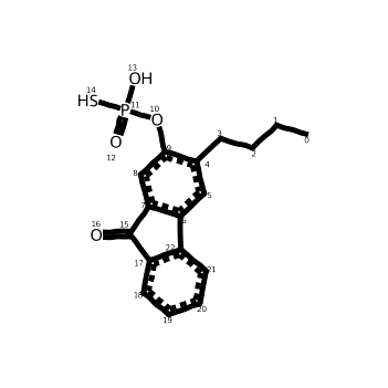 CCCCc1cc2c(cc1OP(=O)(O)S)C(=O)c1ccccc1-2